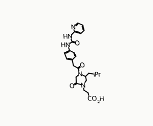 CC(C)CC1CN(CCC(=O)O)C(=O)CN1C(=O)Cc1ccc(NC(=O)Nc2ccccn2)cc1